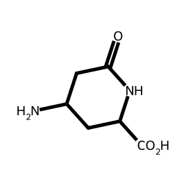 NC1CC(=O)NC(C(=O)O)C1